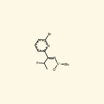 CC(F)C(=N[S@+]([O-])C(C)(C)C)c1cccc(Br)n1